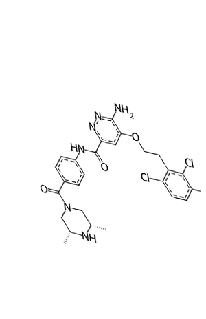 C[C@@H]1CN(C(=O)c2ccc(NC(=O)c3cc(OCCc4c(Cl)ccc(F)c4Cl)c(N)nn3)cc2)C[C@H](C)N1